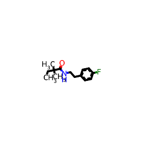 CCC(C)(C)C(=O)NCCc1ccc(F)cc1